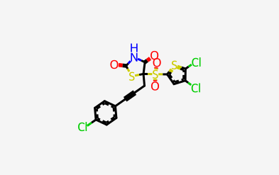 O=C1NC(=O)C(CC#Cc2ccc(Cl)cc2)(S(=O)(=O)c2cc(Cl)c(Cl)s2)S1